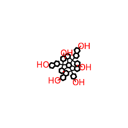 Oc1ccc(C2(c3ccc4cc(O)ccc4c3)c3ccccc3-c3c2c2c(c4c3C(c3ccc(O)cc3)(c3ccc5cc(O)ccc5c3)c3ccccc3-4)C(c3ccc(O)cc3)(c3ccc4cc(O)ccc4c3)c3ccccc3-2)cc1